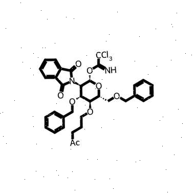 CC(=O)CCCO[C@H]1[C@H](OCc2ccccc2)[C@@H](N2C(=O)c3ccccc3C2=O)[C@H](OC(=N)C(Cl)(Cl)Cl)O[C@@H]1COCc1ccccc1